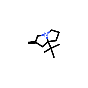 C=C1CN2CCCC2(C(C)(C)C)C1